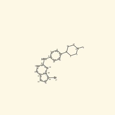 CN1CCC(c2ccc(Nc3ncc4ccc(Br)n4n3)cc2)CC1